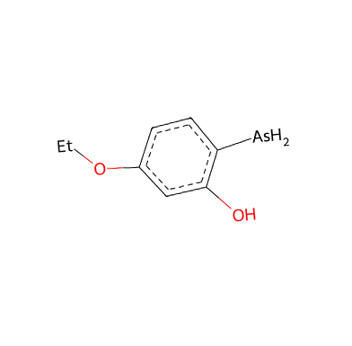 CCOc1ccc([AsH2])c(O)c1